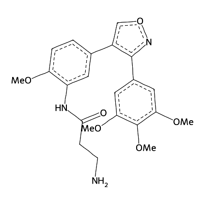 COc1ccc(-c2conc2-c2cc(OC)c(OC)c(OC)c2)cc1NC(=O)CCN